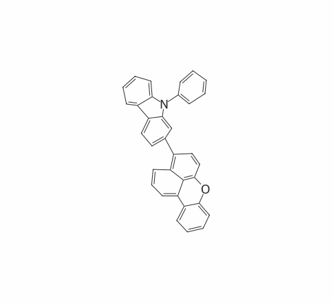 c1ccc(-n2c3ccccc3c3ccc(-c4ccc5c6c(cccc46)-c4ccccc4O5)cc32)cc1